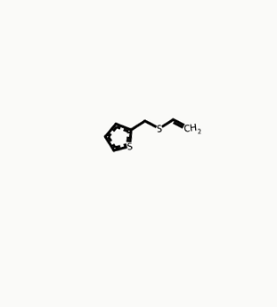 C=CSCc1cccs1